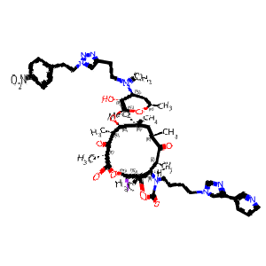 CO[C@]1(C)C[C@@H](C)C(=O)[C@H](C)[C@H]2N(CCCCn3cnc(-c4cccnc4)c3)C(=O)O[C@]2(C)[C@@H](I)OC(=O)[C@H](C)C(=O)[C@H](C)[C@H]1O[C@@H]1O[C@H](C)C[C@H](N(C)CCc2cn(CCc3ccc([N+](=O)[O-])cc3)nn2)[C@H]1O